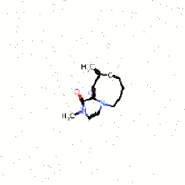 C=C1/C=C2/C(=O)N(C)C=CN2CCCCC1